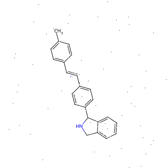 Cc1ccc(/C=C/c2ccc(C3NCc4ccccc43)cc2)cc1